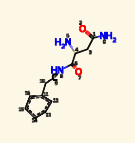 NC(=O)C[C@@H](N)C(=O)NCCc1ccccc1